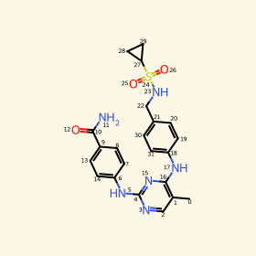 Cc1cnc(Nc2ccc(C(N)=O)cc2)nc1Nc1ccc(CNS(=O)(=O)C2CC2)cc1